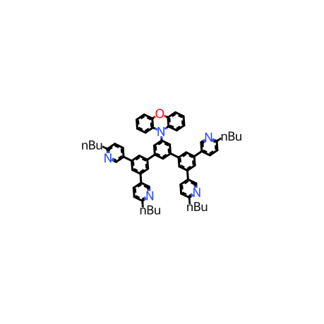 CCCCc1ccc(-c2cc(-c3ccc(CCCC)nc3)cc(-c3cc(-c4cc(-c5ccc(CCCC)nc5)cc(-c5ccc(CCCC)nc5)c4)cc(N4c5ccccc5Oc5ccccc54)c3)c2)cn1